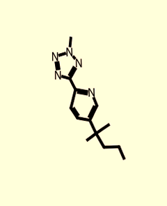 CCCC(C)(C)c1ccc(-c2nnn(C)n2)nc1